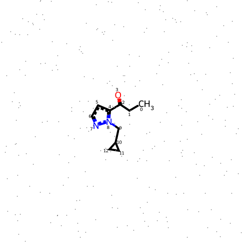 CCC(=O)c1ccnn1CC1CC1